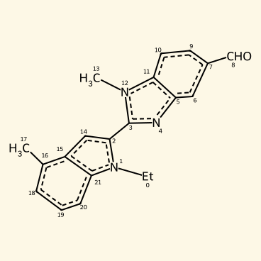 CCn1c(-c2nc3cc(C=O)ccc3n2C)cc2c(C)cccc21